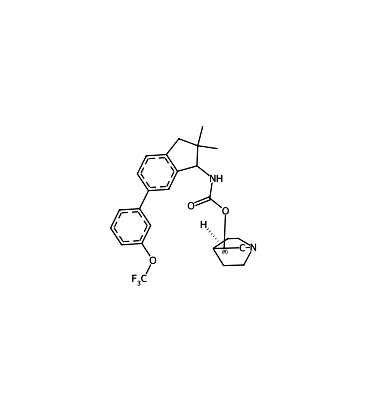 CC1(C)Cc2ccc(-c3cccc(OC(F)(F)F)c3)cc2C1NC(=O)O[C@H]1CN2CCC1CC2